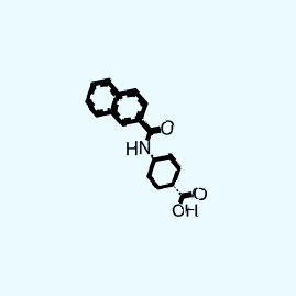 O=C(N[C@H]1CC[C@@H](C(=O)O)CC1)c1ccc2ccccc2c1